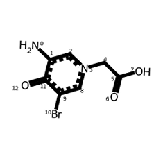 Nc1cn(CC(=O)O)cc(Br)c1=O